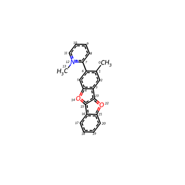 Cc1cc2c(cc1-c1cccc[n+]1C)oc1c3ccccc3oc21